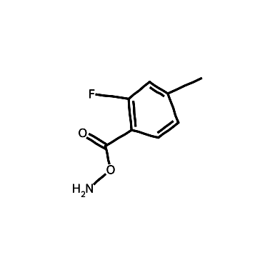 Cc1ccc(C(=O)ON)c(F)c1